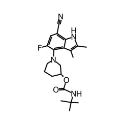 Cc1[nH]c2c(C#N)cc(F)c(N3CCC[C@H](OC(=O)NC(C)(C)C)C3)c2c1C